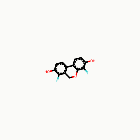 Oc1ccc2c(c1F)COc1c-2ccc(O)c1F